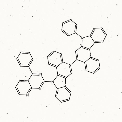 c1ccc(-c2nc(-n3c4ccccc4c4cc(-c5cc6c(c7ccccc57)c5ccccc5n6-c5ccccc5)c5ccccc5c43)nc3ncccc23)cc1